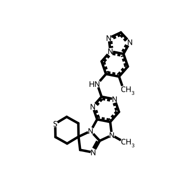 Cc1cc2ncnn2cc1Nc1ncc2c(n1)N1C(=NCC13CCSCC3)N2C